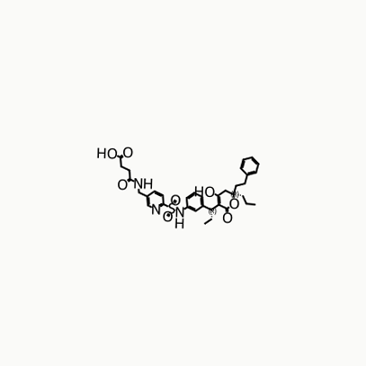 CCC[C@@]1(CCc2ccccc2)CC(O)=C([C@H](CC)c2cccc(NS(=O)(=O)c3ccc(CNC(=O)CCC(=O)O)cn3)c2)C(=O)O1